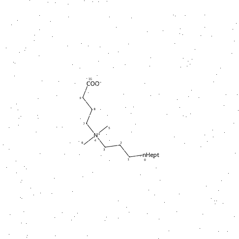 CCCCCCCCCC[N+](C)(C)CCCC(=O)[O-]